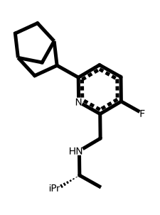 CC(C)[C@@H](C)NCc1nc(C2CC3CCC2C3)ccc1F